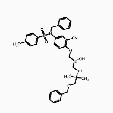 Cc1ccc(S(=O)(=O)N(Cc2ccccc2)c2ccc(OC[C@H](O)CNC(C)(C)COCc3ccccc3)c(C#N)c2)cc1